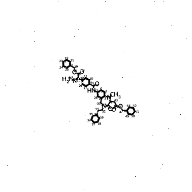 CN1c2ccc(NC(=O)c3ccc(C(=NN)C(=O)OCc4ccccc4)cc3)cc2CN(CCc2ccccc2)C(=O)C1CC(=O)OCc1ccccc1